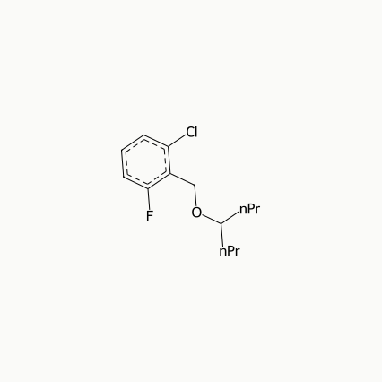 CCCC(CCC)OCc1c(F)cccc1Cl